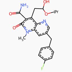 CC(C)OC(O)Cc1c(C(N)=O)c(=O)n(C)c2cc(Cc3ccc(F)cc3)cnc12